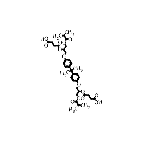 C=C(C)C(=O)OCC(COc1ccc(C(C)(C)c2ccc(OCC(COC(=O)C(=C)C)OC(=O)CCC(=O)O)cc2)cc1)OC(=O)CCC(=O)O